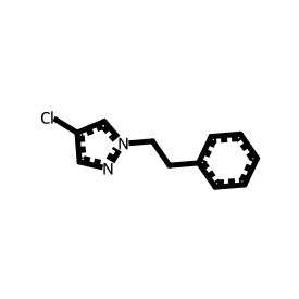 Clc1cnn(CCc2ccccc2)c1